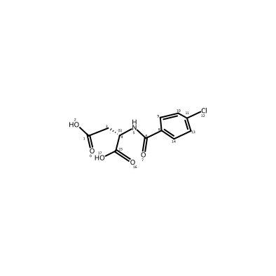 O=C(O)C[C@H](NC(=O)c1ccc(Cl)cc1)C(=O)O